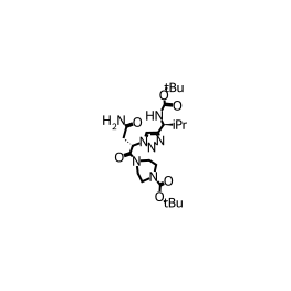 CC(C)[C@H](NC(=O)OC(C)(C)C)c1cn([C@@H](CC(N)=O)C(=O)N2CCN(C(=O)OC(C)(C)C)CC2)nn1